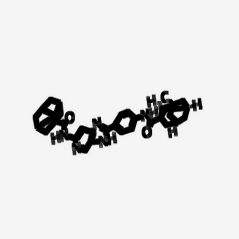 C[C@@]12C[C@@H]3C[C@@H](CC(C(=O)Nc4ccc(-c5nc6cc(NC(=O)C78CC9CC(CC(C9)C7)C8)ncc6[nH]5)cc4)(C3)C1)C2